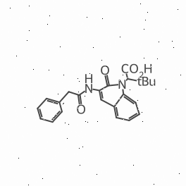 CC(C)(C)C(C(=O)O)n1c(=O)c(NC(=O)Cc2ccccc2)cc2ccccc21